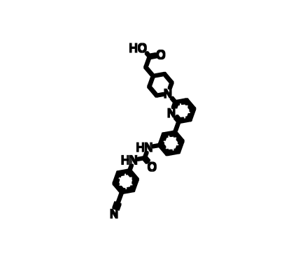 N#Cc1ccc(NC(=O)Nc2cccc(-c3cccc(N4CCC(CC(=O)O)CC4)n3)c2)cc1